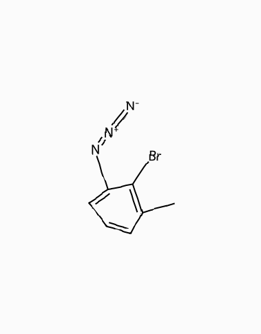 Cc1cccc(N=[N+]=[N-])c1Br